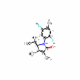 CC(C)=C1C(C)=C(C)C(=O)N1c1cc(F)c(C#N)cc1F